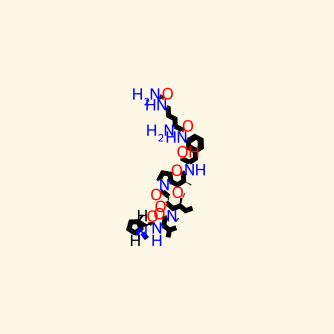 CC[C@H](C)[C@@H]([C@@H](CC(=O)N1CCCC1[C@H](OC)[C@@H](C)C(=O)NC(CO)Cc1cccc(NC(=O)C(N)CCCNC(N)=O)c1)OC)N(C)C(=O)C(NC(=O)[C@@H]1[C@H]2CC[C@H](C2)N1C)C(C)C